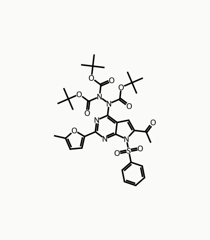 CC(=O)c1cc2c(N(C(=O)OC(C)(C)C)N(C(=O)OC(C)(C)C)C(=O)OC(C)(C)C)nc(-c3ccc(C)o3)nc2n1S(=O)(=O)c1ccccc1